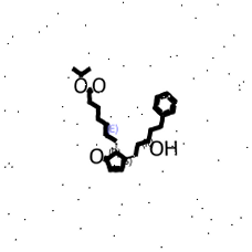 CC(C)OC(=O)CCC/C=C/C[C@H]1C(=O)C=C[C@@H]1CC[C@@H](O)CCc1ccccc1